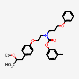 CCOC(Cc1ccc(OCCN(CCCOc2ccccc2)C(=O)Oc2cccc(C)c2)cc1)C(=O)O